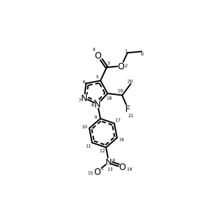 CCOC(=O)c1cnn(-c2ccc([N+](=O)[O-])cc2)c1C(C)F